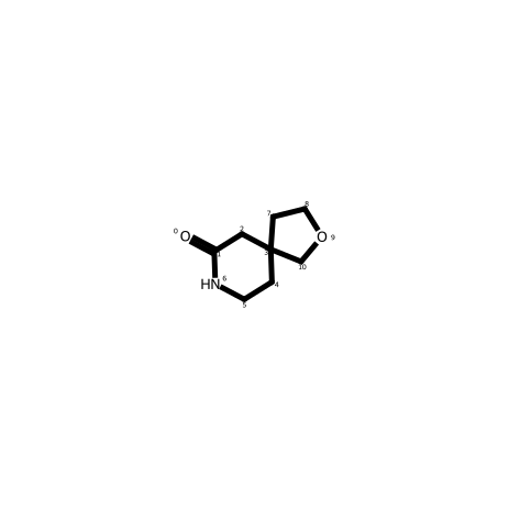 O=C1CC2(CCN1)CCOC2